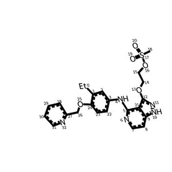 CCc1cc(Nc2nccc3[nH]nc(OCCOS(C)(=O)=O)c23)ccc1OCc1ccccn1